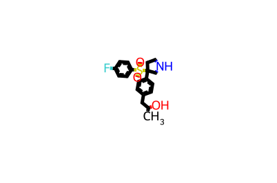 CC(O)Cc1ccc(C2(S(=O)(=O)c3ccc(F)cc3)CCNC2)cc1